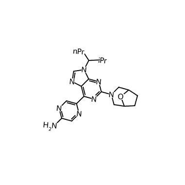 CCCC(C(C)C)n1cnc2c(-c3cnc(N)cn3)nc(N3CC4CCC(C3)O4)nc21